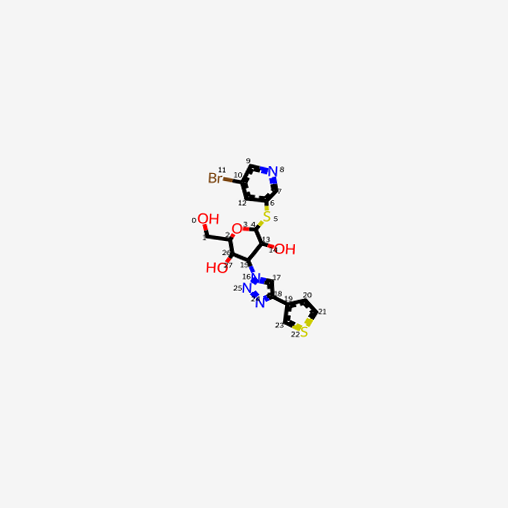 OCC1OC(Sc2cncc(Br)c2)C(O)C(n2cc(-c3ccsc3)nn2)C1O